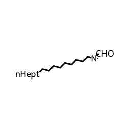 CCCCCCCCCCCCCCCC[N]C=O